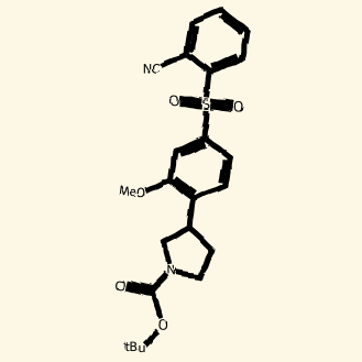 COc1cc(S(=O)(=O)c2ccccc2C#N)ccc1C1CCN(C(=O)OC(C)(C)C)C1